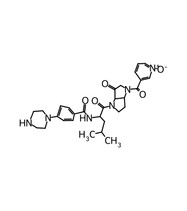 CC(C)CC(NC(=O)c1ccc(N2CCNCC2)cc1)C(=O)N1CCC2C1C(=O)CN2C(=O)c1ccc[n+]([O-])c1